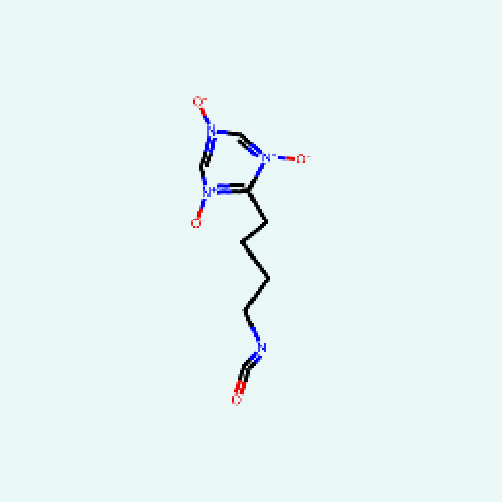 O=C=NCCCCc1[n+]([O-])c[n+]([O-])c[n+]1[O-]